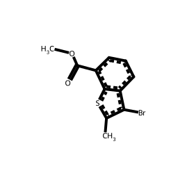 COC(=O)c1cccc2c(Br)c(C)sc12